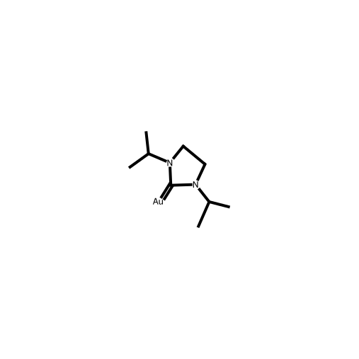 CC(C)N1CCN(C(C)C)[C]1=[Au]